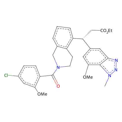 CCOC(=O)C[C@H](c1cc(OC)c2c(c1)nnn2C)c1cccc2c1CCN(C(=O)c1ccc(Cl)cc1OC)C2